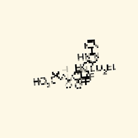 CCOC(=O)C1=C(CN2CC(F)(F)[C@@H]3C(=O)N(C(=O)NCC(C)(C)C(=O)O)C[C@@H]32)NC(c2nccs2)=NC1